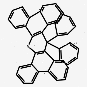 c1ccc(C2(c3ccccc3)c3c(c4ccccc4c4ccccc34)Sc3c2c2ccccc2c2ccccc32)cc1